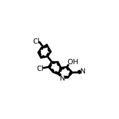 N#Cc1cnc2cc(Cl)c(-c3ccc(Cl)cc3)cc2c1O